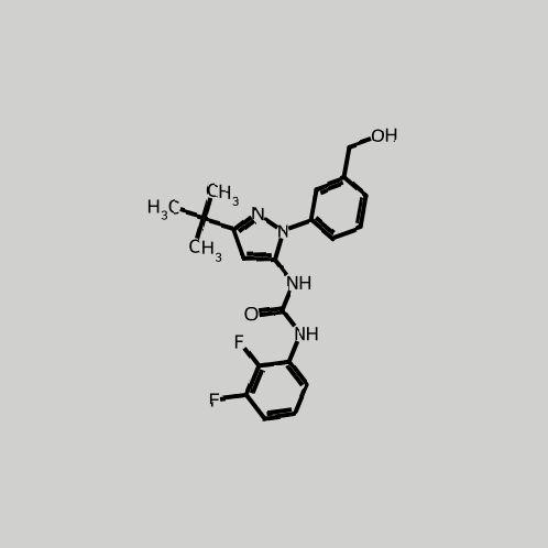 CC(C)(C)c1cc(NC(=O)Nc2cccc(F)c2F)n(-c2cccc(CO)c2)n1